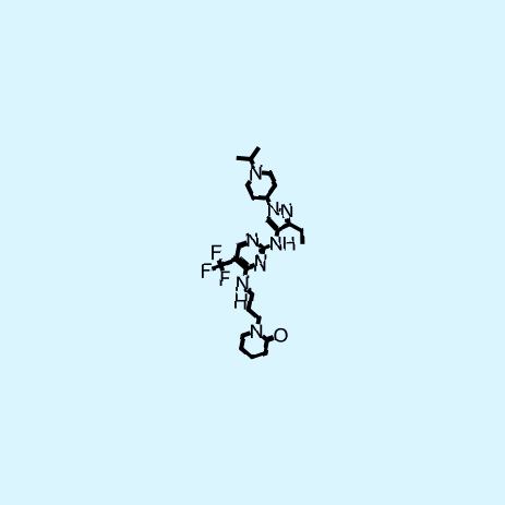 CCc1nn(C2CCN(C(C)C)CC2)cc1Nc1ncc(C(F)(F)F)c(NCCCN2CCCCC2=O)n1